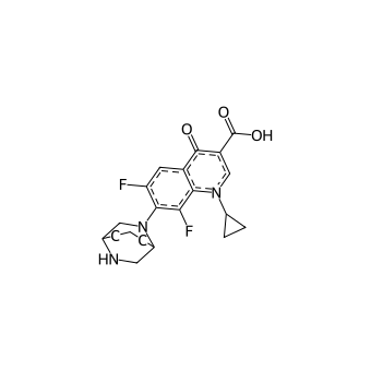 O=C(O)c1cn(C2CC2)c2c(F)c(N3CC4CCCC3CN4)c(F)cc2c1=O